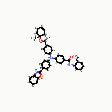 Cc1ccccc1NC(=O)c1ccc(N(c2ccc(C3=NC4C=CC=CC4(C)O3)cc2)c2ccc(-c3nc4ccccc4o3)cc2)cc1